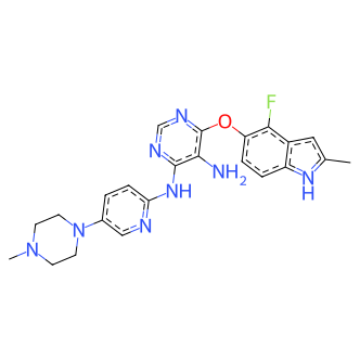 Cc1cc2c(F)c(Oc3ncnc(Nc4ccc(N5CCN(C)CC5)cn4)c3N)ccc2[nH]1